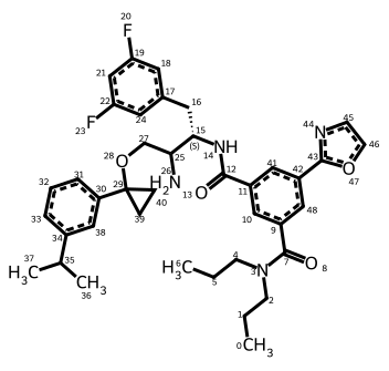 CCCN(CCC)C(=O)c1cc(C(=O)N[C@@H](Cc2cc(F)cc(F)c2)C(N)COC2(c3cccc(C(C)C)c3)CC2)cc(-c2ncco2)c1